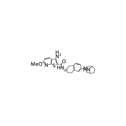 COc1ccc2c(N)c(C(=O)N[C@H]3CCc4cc(N5CC6CCC(C5)N6)ccc4C3)sc2n1